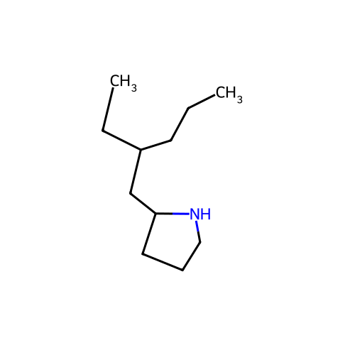 CCCC(CC)CC1CCCN1